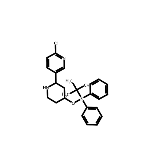 CC(C)(C)[Si](OC1CCNC(c2ccc(Cl)nc2)C1)(c1ccccc1)c1ccccc1